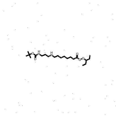 CCC(CC)OOC(=O)CCCCCCCNCCCNC(=O)OC(C)(C)C